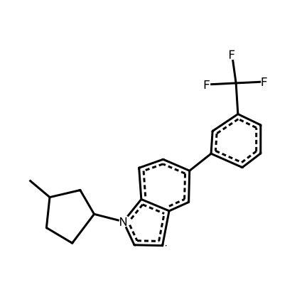 CC1CCC(n2c[c]c3cc(-c4cccc(C(F)(F)F)c4)ccc32)C1